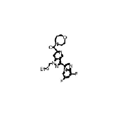 CCSCn1nc(-c2cnc3c(F)cc(F)cn23)c2cnc(C(=O)N3CCCOCC3)cc21